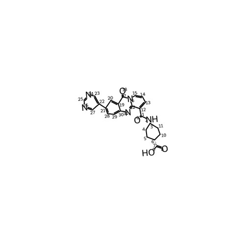 O=C(N[C@H]1CC[C@@H](C(=O)O)CC1)c1cccn2c(=O)c3cc(-c4cncnc4)ccc3nc12